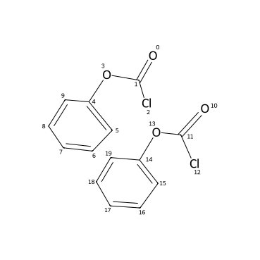 O=C(Cl)Oc1ccccc1.O=C(Cl)Oc1ccccc1